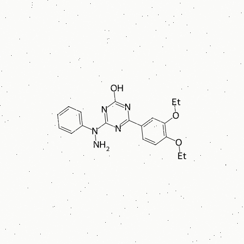 CCOc1ccc(-c2nc(O)nc(N(N)c3ccccc3)n2)cc1OCC